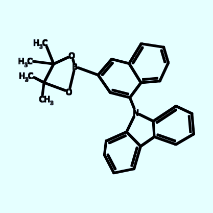 CC1(C)OB(c2cc(-n3c4ccccc4c4ccccc43)c3ccccc3c2)OC1(C)C